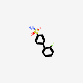 NS(=O)(=O)c1ccc(-c2ccccc2F)cc1